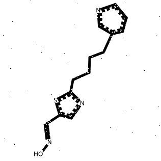 O/N=C/c1cnc(CCCCc2cccnc2)s1